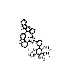 Bc1c(B)c(B)c(-c2cccc(-c3nc(-c4ccccc4)nc(-c4cccc5oc6ccc(-c7cccc8c7oc7ccccc78)cc6c45)n3)c2)c(B)c1B